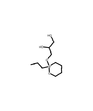 CCC[Si]1(OCC(O)CO)CCCCO1